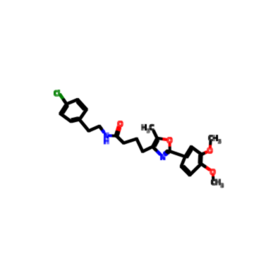 COc1ccc(-c2nc(CCCC(=O)NCCc3ccc(Cl)cc3)c(C)o2)cc1OC